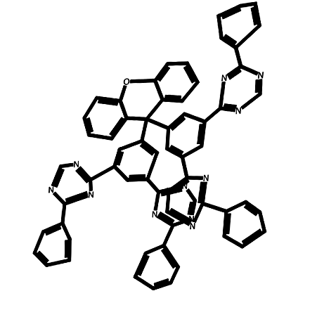 c1ccc(-c2ncnc(-c3cc(-c4ncnc(-c5ccccc5)n4)cc(C4(c5cc(-c6ncnc(-c7ccccc7)n6)cc(-c6ncnc(-c7ccccc7)n6)c5)c5ccccc5Oc5ccccc54)c3)n2)cc1